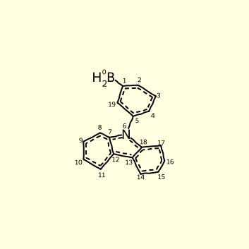 Bc1cccc(-n2c3ccccc3c3ccccc32)c1